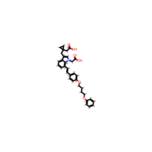 O=C(O)Cn1cc(CC2(CC(=O)O)CC2)c2cccc(C=Cc3ccc(OCCCCOc4ccccc4)cc3)c21